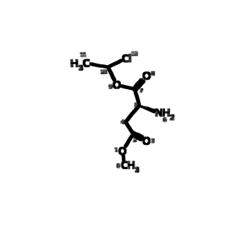 COC(=O)C[C@H](N)C(=O)OC(C)Cl